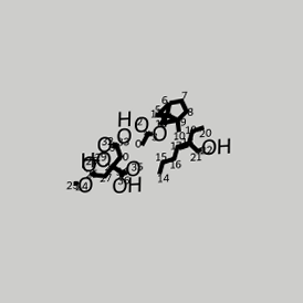 CC(=O)OC1CC2CCC1(C)C2(C)C.CCCC=C(CC)CO.COC(=O)CC(O)(CC(=O)O)C(=O)O